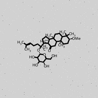 CO[C@H]1CC[C@@]2(C)C(CC[C@]3(C)C2CC(=O)C2C([C@](C)(CCC=C(C)C)O[C@@H]4OC(CO)[C@@H](O)C(O)C4O)CC[C@]23C)C1(C)C